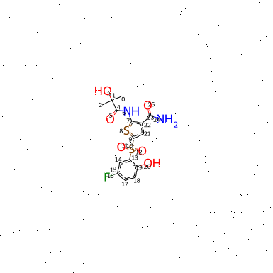 CC(C)(O)C(=O)Nc1sc(S(=O)(=O)c2cc(F)ccc2O)cc1C(N)=O